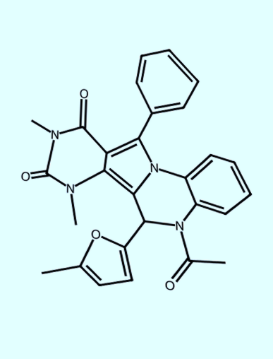 CC(=O)N1c2ccccc2-n2c(-c3ccccc3)c3c(=O)n(C)c(=O)n(C)c3c2C1c1ccc(C)o1